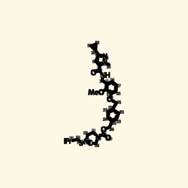 COc1c(CNC(=O)c2cc(C3CC3)nn2C)cccc1OCc1ccc(COC(=O)N2CCN(SCC(C)C)CC2)cc1